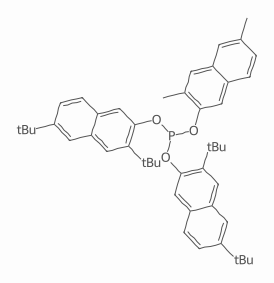 Cc1ccc2cc(OP(Oc3cc4ccc(C(C)(C)C)cc4cc3C(C)(C)C)Oc3cc4ccc(C(C)(C)C)cc4cc3C(C)(C)C)c(C)cc2c1